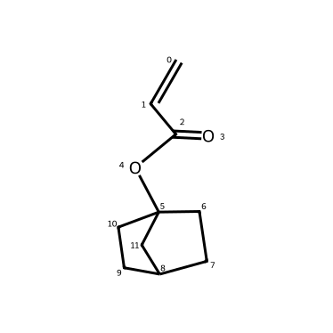 C=CC(=O)OC12CCC(CC1)C2